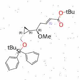 CO[C@H](C/C=C/C(=O)OC(C)(C)C)[C@@H]1C[C@H]1CO[Si](c1ccccc1)(c1ccccc1)C(C)(C)C